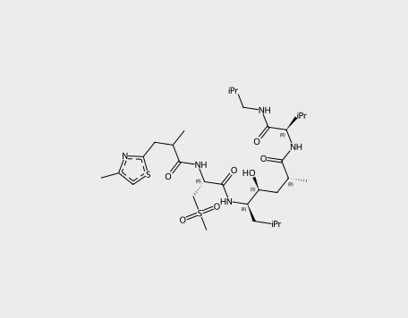 Cc1csc(CC(C)C(=O)N[C@@H](CS(C)(=O)=O)C(=O)N[C@H](CC(C)C)[C@@H](O)C[C@@H](C)C(=O)N[C@@H](C(=O)NCC(C)C)C(C)C)n1